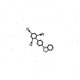 N#Cc1cc(C#N)c(-c2ccc(N3CCc4ccccc43)cc2)c(C#N)c1